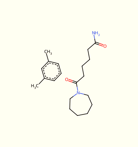 Cc1cccc(C)c1.NC(=O)CCCCC(=O)N1CCCCCC1